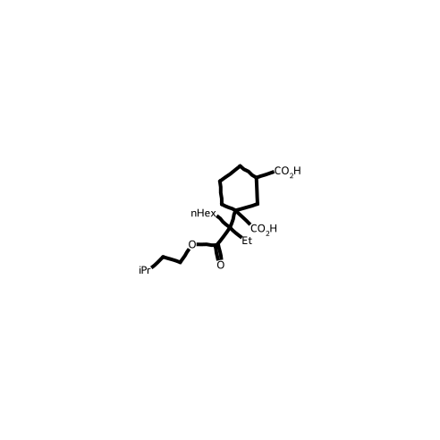 CCCCCCC(CC)(C(=O)OCCC(C)C)C1(C(=O)O)CCCC(C(=O)O)C1